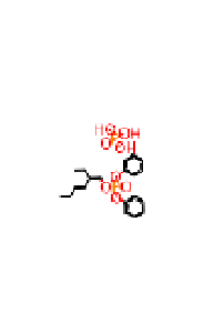 CCCCC(CC)COP(=O)(Oc1ccccc1)Oc1ccccc1.O=P(O)(O)O